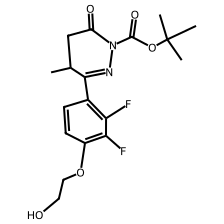 CC1CC(=O)N(C(=O)OC(C)(C)C)N=C1c1ccc(OCCO)c(F)c1F